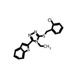 CCn1c(SCc2ccccc2Cl)nnc1-c1cc2ccccc2s1